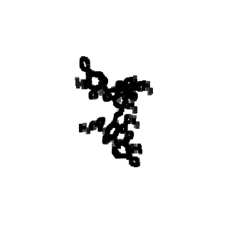 COC[C@H]1O[C@@H](n2ccc(=O)[nH]c2=O)[C@H](OC)[C@@H]1CCN(C)C[C@H]1O[C@@H](n2ccc(=O)[nH]c2=O)[C@H](OC)[C@@H]1OP(=O)(O)OC